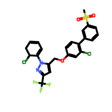 CS(=O)(=O)c1cccc(-c2ccc(OCc3cc(C(F)(F)F)nn3C3=CC=CCC3Cl)cc2Cl)c1